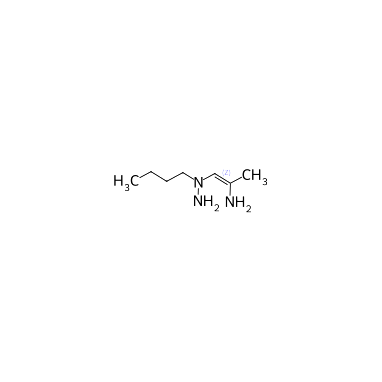 CCCCN(N)/C=C(/C)N